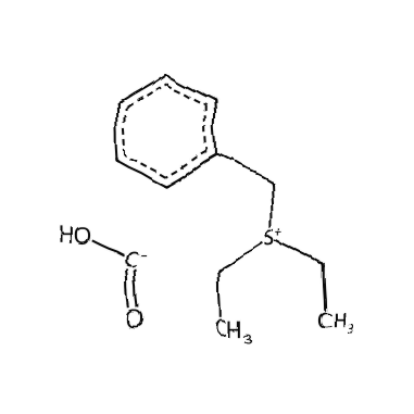 CC[S+](CC)Cc1ccccc1.O=[C-]O